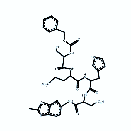 Cc1nc2ccc(NC(=O)C(CC(=O)O)NC(=O)C(Cc3c[nH]cn3)NC(=O)C(CCC(=O)O)NC(=O)C(CC(C)C)NC(=O)OCc3ccccc3)cc2s1